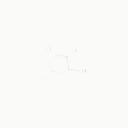 Cc1cc(F)cc[c]1[Zn+].[Cl-]